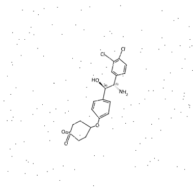 N[C@@H](c1ccc(Cl)c(Cl)c1)[C@H](O)c1ccc(OC2CCS(=O)(=O)CC2)cc1